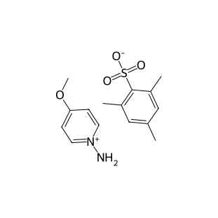 COc1cc[n+](N)cc1.Cc1cc(C)c(S(=O)(=O)[O-])c(C)c1